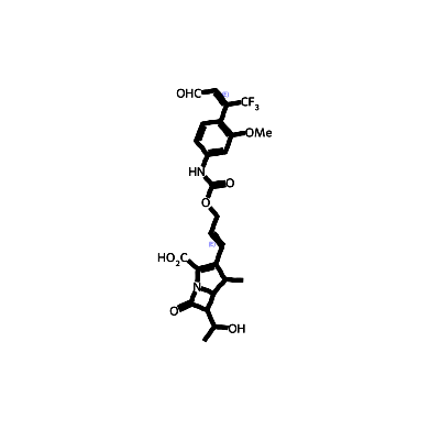 COc1cc(NC(=O)OC/C=C/C2=C(C(=O)O)N3C(=O)C(C(C)O)C3C2C)ccc1/C(=C\C=O)C(F)(F)F